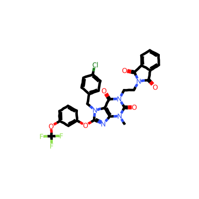 Cn1c(=O)n(CCN2C(=O)c3ccccc3C2=O)c(=O)c2c1nc(Oc1cccc(OC(F)(F)F)c1)n2Cc1ccc(Cl)cc1